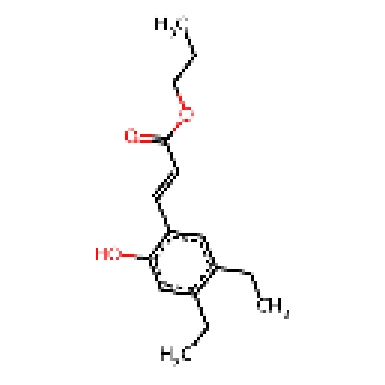 CCCOC(=O)C=Cc1cc(CC)c(CC)cc1O